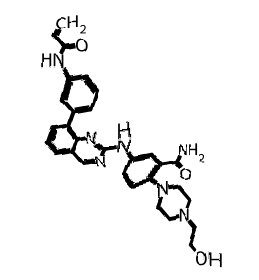 C=CC(=O)Nc1cccc(-c2cccc3cnc(Nc4ccc(N5CCN(CCO)CC5)c(C(N)=O)c4)nc23)c1